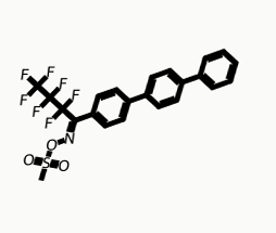 CS(=O)(=O)ON=C(c1ccc(-c2ccc(-c3ccccc3)cc2)cc1)C(F)(F)C(F)(F)C(F)(F)F